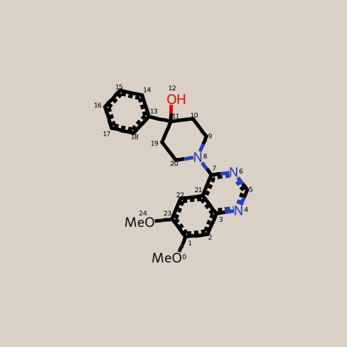 COc1cc2ncnc(N3CCC(O)(c4ccccc4)CC3)c2cc1OC